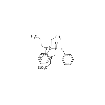 CC=CN(C=CC)C(=O)N(CC(=O)OCC)CP(=O)(Oc1ccccc1)Oc1ccccc1